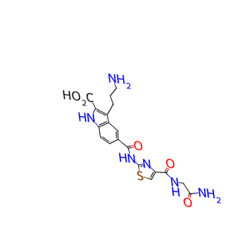 NCCCc1c(C(=O)O)[nH]c2ccc(C(=O)Nc3nc(C(=O)NCC(N)=O)cs3)cc12